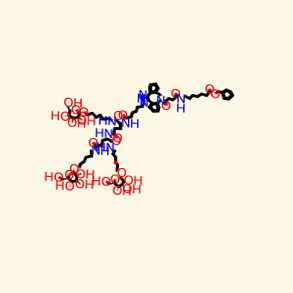 O=C(CCC(=O)N1Cc2ccccc2-c2nnn(CCCCCC(=O)NC(CCC(=O)NC(CCC(=O)NCCCCCCO[C@H]3O[C@H](CO)[C@@H](O)[C@H](O)[C@@H]3O)C(=O)NCCCCCCO[C@H]3O[C@H](CO)[C@@H](O)[C@H](O)[C@@H]3O)C(=O)NCCCCCCO[C@H]3O[C@H](CO)[C@@H](O)[C@H](O)[C@@H]3O)c2-c2ccccc21)NCCCCCCC(=O)OCc1ccccc1